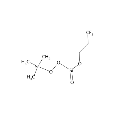 C[Si](C)(C)OO[Si](=O)OCCC(F)(F)F